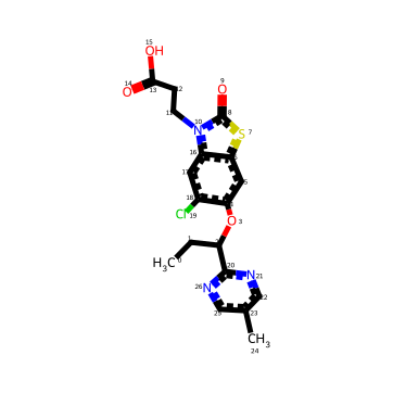 CCC(Oc1cc2sc(=O)n(CCC(=O)O)c2cc1Cl)c1ncc(C)cn1